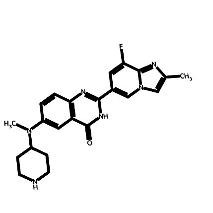 Cc1cn2cc(-c3nc4ccc(N(C)C5CCNCC5)cc4c(=O)[nH]3)cc(F)c2n1